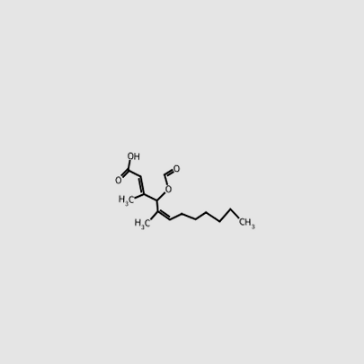 CCCCCC/C=C(/C)C(OC=O)/C(C)=C/C(=O)O